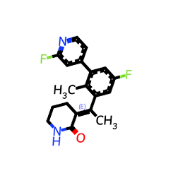 C/C(=C1/CCCNC1=O)c1cc(F)cc(-c2ccnc(F)c2)c1C